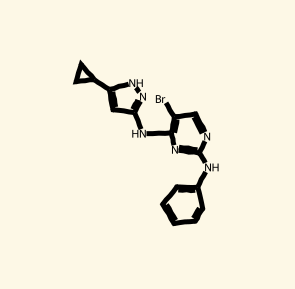 Brc1cnc(Nc2ccccc2)nc1Nc1cc(C2CC2)[nH]n1